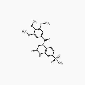 COc1cc(C(=O)N2CC(=O)Nc3cc(S(C)(=O)=O)ccc32)cc(OC)c1OC